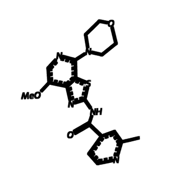 COc1cnc(N2CCOCC2)c2sc(NC(=O)c3ccnc(C)c3)nc12